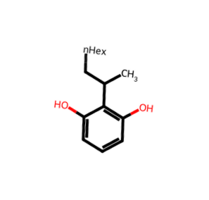 CCCCCCCC(C)c1c(O)cccc1O